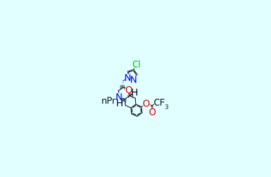 CCCN1C[C@H](Cn2cc(Cl)cn2)O[C@@H]2Cc3c(cccc3OC(=O)C(F)(F)F)C[C@H]21